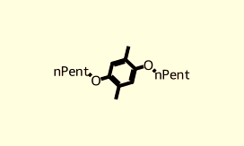 CCCCCOc1cc(C)c(OCCCCC)cc1C